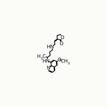 COc1cc(NC(C)CCCNCC=C2CCOC2=O)c2ncccc2c1